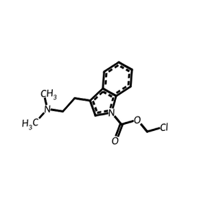 CN(C)CCc1cn(C(=O)OCCl)c2ccccc12